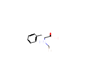 O=C(O)[C@H](Cc1ccccc1)NCBr